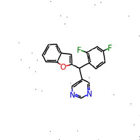 Fc1ccc(C(c2cncnc2)c2cc3ccccc3o2)c(F)c1